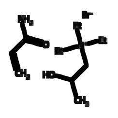 C=CC(N)=O.CC[N+](CC)(CC)CC(C)O.[Br-]